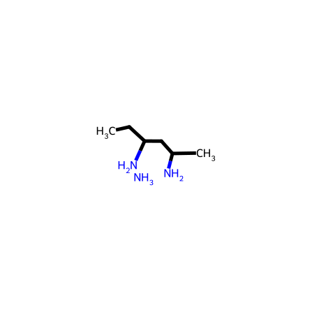 CCC(N)CC(C)N.N